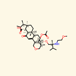 COCCN[C@@](C)(CO[C@H]1[C@H](OC(C)=O)C[C@@]23COC[C@]1(C)[C@@H]2CC[C@H]1C3=CC(=O)[C@@]2(C)[C@H](C(=O)O)[C@@](C)([C@H](C)C(C)C)CC[C@]12C)C(C)C